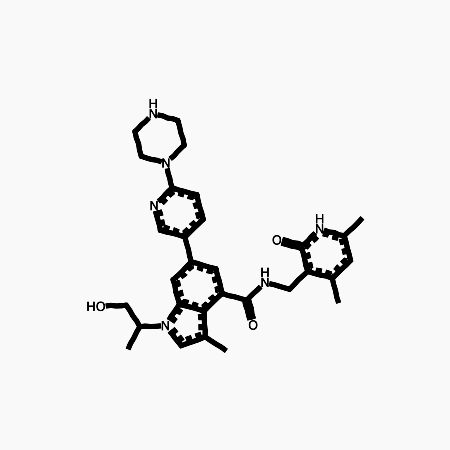 Cc1cc(C)c(CNC(=O)c2cc(-c3ccc(N4CCNCC4)nc3)cc3c2c(C)cn3C(C)CO)c(=O)[nH]1